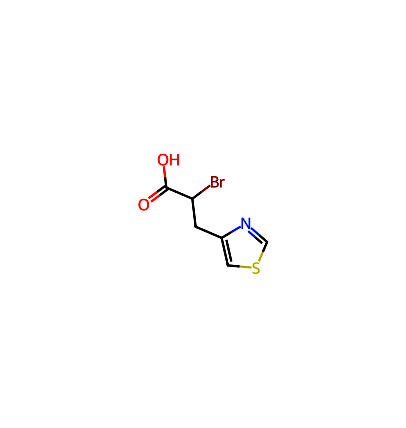 O=C(O)C(Br)Cc1cscn1